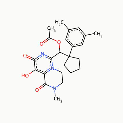 CC(=O)OC(c1nc(=O)c(O)c2n1CCN(C)C2=O)C1(c2cc(C)cc(C)c2)CCCC1